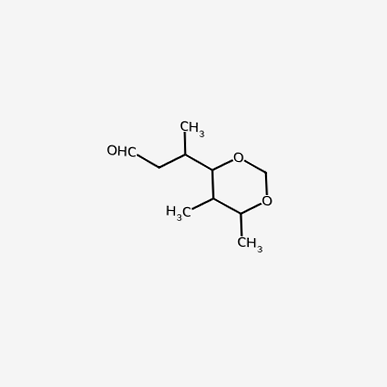 CC(CC=O)C1OCOC(C)C1C